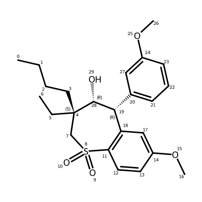 CCCC[C@]1(CC)CS(=O)(=O)c2ccc(OC)cc2[C@@H](c2cccc(OC)c2)[C@H]1O